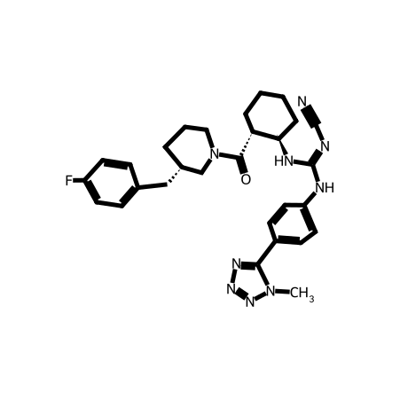 Cn1nnnc1-c1ccc(N/C(=N/C#N)N[C@@H]2CCCC[C@H]2C(=O)N2CCC[C@@H](Cc3ccc(F)cc3)C2)cc1